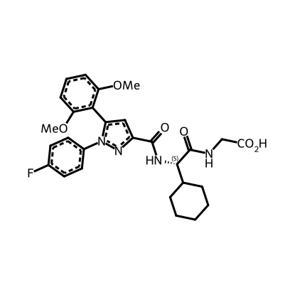 COc1cccc(OC)c1-c1cc(C(=O)N[C@H](C(=O)NCC(=O)O)C2CCCCC2)nn1-c1ccc(F)cc1